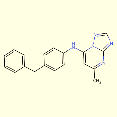 Cc1cc(Nc2ccc(Cc3ccccc3)cc2)n2ncnc2n1